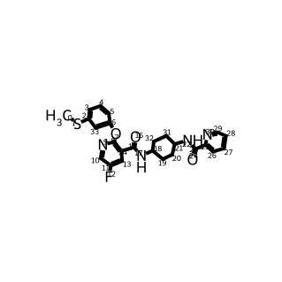 CSc1cccc(Oc2ncc(F)cc2C(=O)NC2CCC(NC(=O)c3ccccn3)CC2)c1